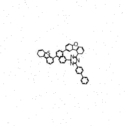 C1=Cc2sc3c(-c4ccc(C5=CC6C7=C(C=CCC7c7nc(-c8ccccc8)nc(-c8ccc(-c9ccccc9)cc8)n7)OC6C=C5)cc4)cccc3c2CC1